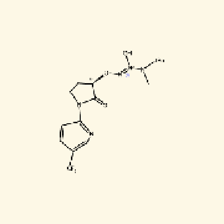 CN(/[N+](O)=N/O[C@@H]1CCN(c2ccc(C(F)(F)F)cn2)C1=O)C(C)(C)C